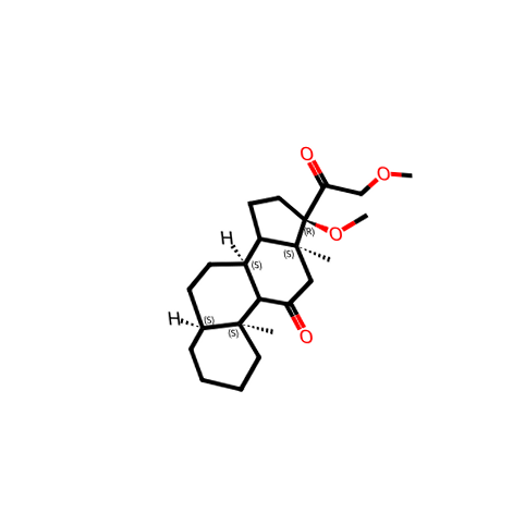 COCC(=O)[C@@]1(OC)CCC2[C@@H]3CC[C@@H]4CCCC[C@]4(C)C3C(=O)C[C@@]21C